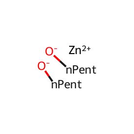 CCCCC[O-].CCCCC[O-].[Zn+2]